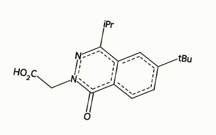 CC(C)c1nn(CC(=O)O)c(=O)c2ccc(C(C)(C)C)cc12